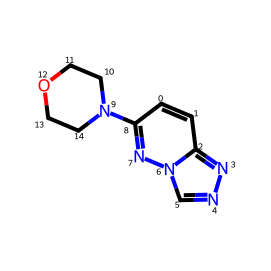 c1cc2nncn2nc1N1CCOCC1